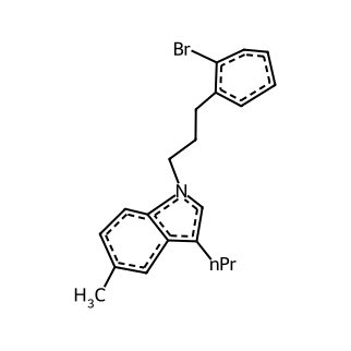 CCCc1cn(CCCc2ccccc2Br)c2ccc(C)cc12